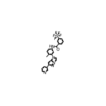 Cc1ccc(NC(=O)c2cccc(S(F)(F)(F)(F)F)c2)cc1-n1ccn2nc(-c3cccnc3)cc12